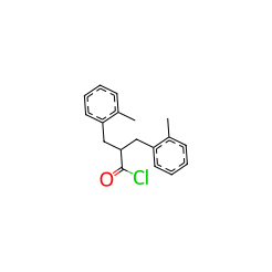 Cc1ccccc1CC(Cc1ccccc1C)C(=O)Cl